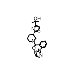 C[C@@H]1CC[C@@H](c2nc(C(C)(C)O)cs2)CN1C(=O)c1ccccc1-n1nccn1